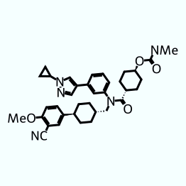 CNC(=O)O[C@H]1CC[C@H](C(=O)N(C[C@H]2CC[C@H](c3ccc(OC)c(C#N)c3)CC2)c2cccc(-c3cnn(C4CC4)c3)c2)CC1